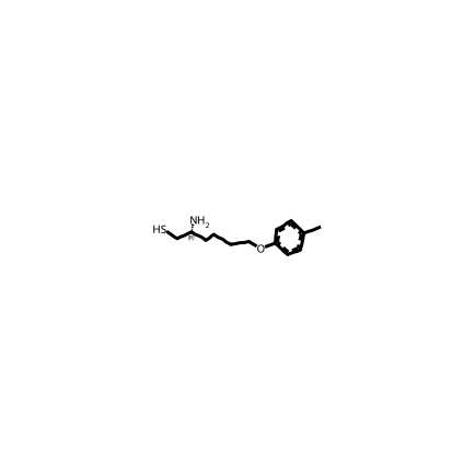 Cc1ccc(OCCCC[C@@H](N)CS)cc1